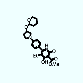 CCc1c(-c2ccc(N3CC[C@@H](OC4CCCCO4)C3)cc2)[nH]c(=O)c(C(=O)OC)c1O